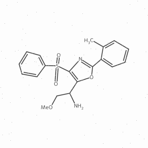 COCC(N)c1oc(-c2ccccc2C)nc1S(=O)(=O)c1ccccc1